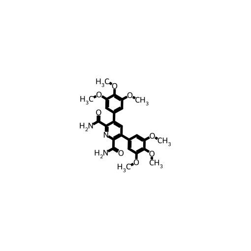 COc1cc(-c2cc(-c3cc(OC)c(OC)c(OC)c3)c(C(N)=O)nc2C(N)=O)cc(OC)c1OC